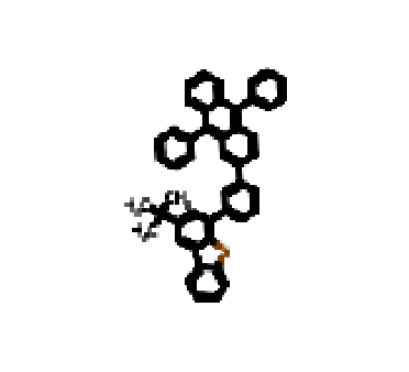 CC(C)(C)c1cc(-c2cccc(-c3ccc4c(-c5ccccc5)c5ccccc5c(-c5ccccc5)c4c3)c2)c2sc3ccccc3c2c1